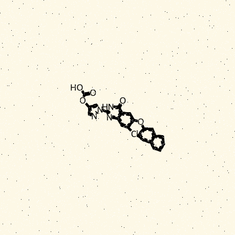 O=C(O)Oc1cnn(-c2nc3cc(Cl)c(Oc4ccc5ccccc5c4)cc3c(=O)[nH]2)c1